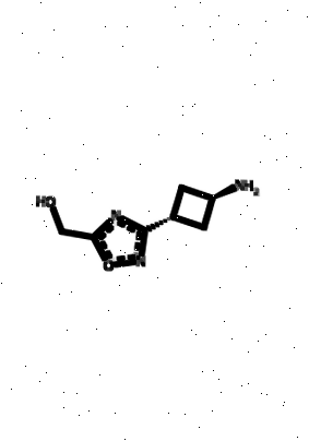 N[C@H]1C[C@H](c2noc(CO)n2)C1